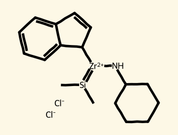 C[Si](C)=[Zr+2]([NH]C1CCCCC1)[CH]1C=Cc2ccccc21.[Cl-].[Cl-]